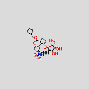 CC(=O)N[C@@H]1[C@H](Oc2cccc(C(=O)OCc3ccccc3)c2-c2cccc(NS(C)(=O)=O)c2)OC(CO)[C@H](O)[C@@H]1O